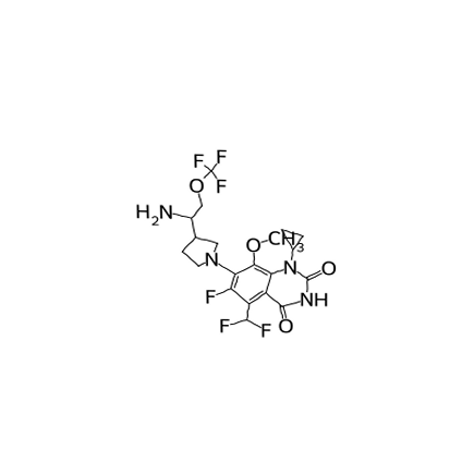 COc1c(N2CCC(C(N)COC(F)(F)F)C2)c(F)c(C(F)F)c2c(=O)[nH]c(=O)n(C3CC3)c12